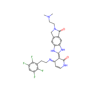 CN(C)CCN1Cc2cc3c(cc2C1=O)N/C(=C1\C(=O)NC=C\C1=N/CCc1c(F)c(F)cc(F)c1F)N3